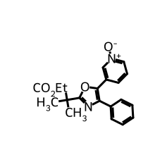 CCOC(=O)C(C)(C)c1nc(-c2ccccc2)c(-c2ccc[n+]([O-])c2)o1